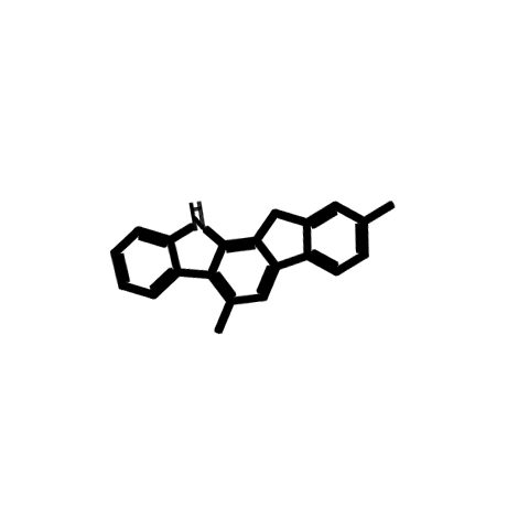 Cc1ccc2c(c1)Cc1c-2cc(C)c2c1[nH]c1ccccc12